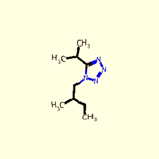 CCC(C)Cn1nnnc1C(C)C